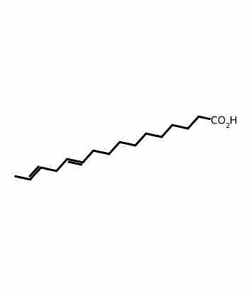 CC=CC/C=C/CCCCCCCCCC(=O)O